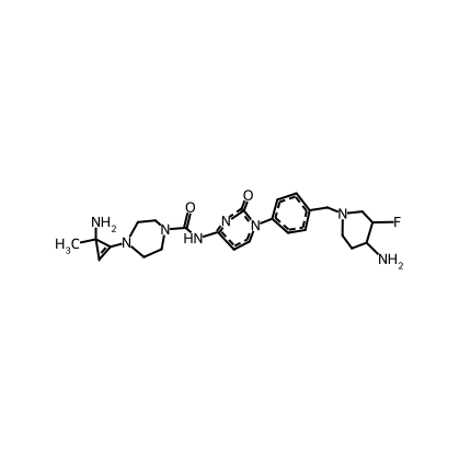 CC1(N)C=C1N1CCN(C(=O)Nc2ccn(-c3ccc(CN4CCC(N)C(F)C4)cc3)c(=O)n2)CC1